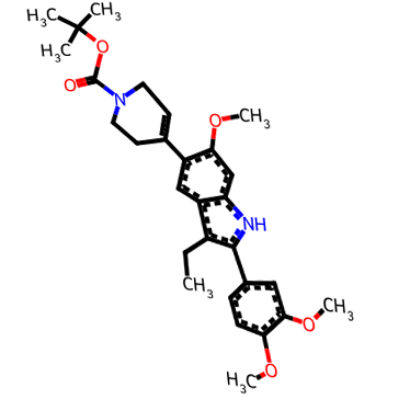 CCc1c(-c2ccc(OC)c(OC)c2)[nH]c2cc(OC)c(C3=CCN(C(=O)OC(C)(C)C)CC3)cc12